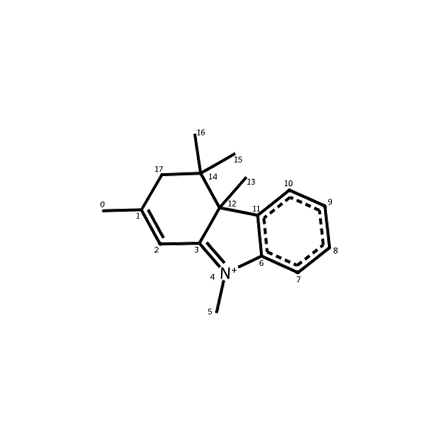 CC1=CC2=[N+](C)c3ccccc3C2(C)C(C)(C)C1